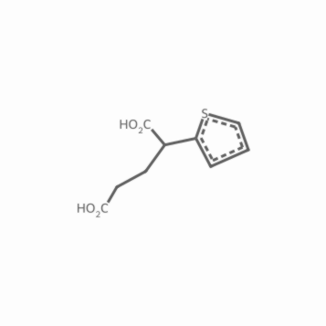 O=C(O)CCC(C(=O)O)c1cccs1